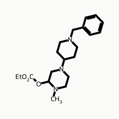 CCOC(=O)OC1CN(C2CCN(Cc3ccccc3)CC2)CCN1C